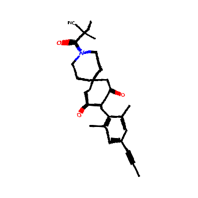 CC#Cc1cc(C)c(C2C(=O)CC3(CCN(C(=O)C(C)(C)C#N)CC3)CC2=O)c(C)c1